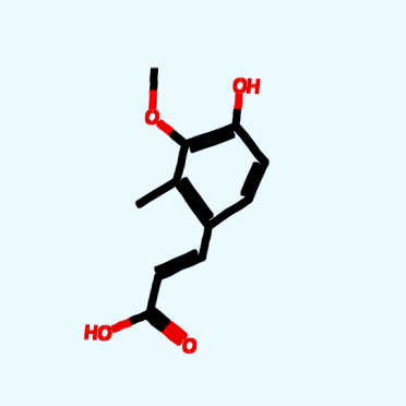 COc1c(O)ccc(/C=C/C(=O)O)c1C